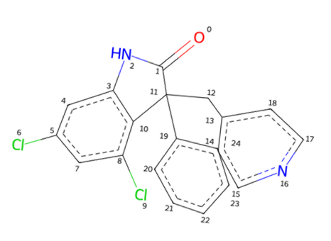 O=C1Nc2cc(Cl)cc(Cl)c2C1(Cc1ccncc1)c1ccccc1